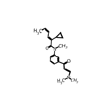 C/C=C\C=C(\C(=O)N(C)c1cccc(C(=O)/C=C/N(C)C)c1)C1CC1